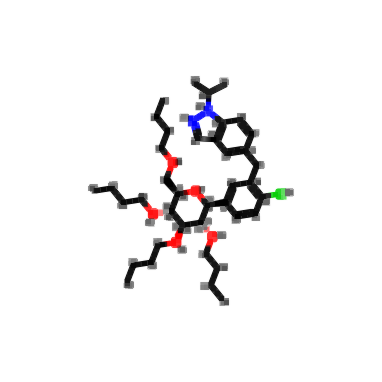 CCCCOC[C@H]1O[C@@H](c2ccc(Cl)c(Cc3ccc4c(cnn4C(C)C)c3)c2)[C@H](OCCCC)[C@@H](OCCCC)[C@@H]1OCCCC